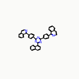 c1ccc2c(-c3nc(-c4ccc(-c5nccc6ccccc56)cc4)nc(-c4ccc(-c5nccc6ccccc56)cc4)n3)cccc2c1